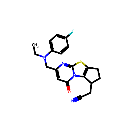 CCN(Cc1cc(=O)n2c3c(sc2n1)CCC3CC#N)c1ccc(F)cc1